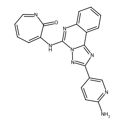 Nc1ccc(-c2nc3c4ccccc4nc(Nc4ccccnc4=O)n3n2)cn1